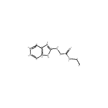 CCOC(=O)CSc1nc2cnncc2s1